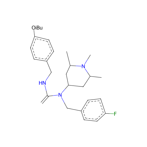 C=C(NCc1ccc(OCC(C)C)cc1)N(Cc1ccc(F)cc1)C1CC(C)N(C)C(C)C1